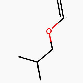 C=[C]OCC(C)C